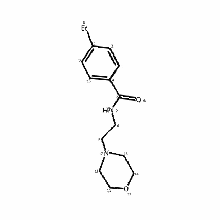 CCc1ccc(C(=O)NCCN2CCOCC2)cc1